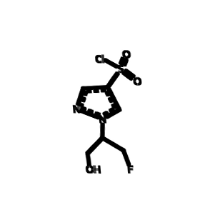 O=S(=O)(Cl)c1cnn(C(CO)CF)c1